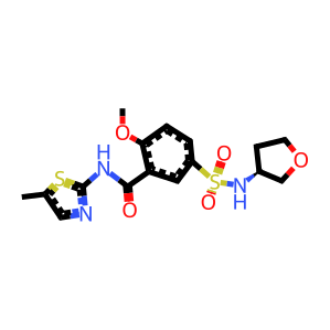 COc1ccc(S(=O)(=O)N[C@H]2CCOC2)cc1C(=O)Nc1ncc(C)s1